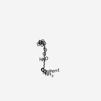 CCCCCc1cc2c(CCCCCNC(=O)CCOCCOCCC(=O)ON3C(=O)CCC3=O)cccc2nc1N